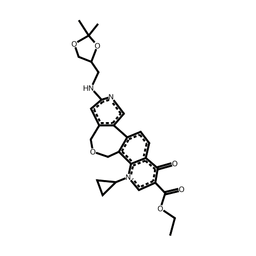 CCOC(=O)c1cn(C2CC2)c2c3c(ccc2c1=O)-c1cnc(NCC2COC(C)(C)O2)cc1COC3